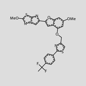 COc1cc(OCc2csc(-c3ccc(C(C)(F)F)cc3)n2)c2cc(-c3cn4nc(OC)sc4n3)oc2c1